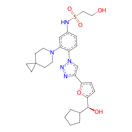 O=S(=O)(CCO)Nc1ccc(-n2cc(-c3ccc([C@@H](O)C4CCCC4)o3)nn2)c(N2CCC3(CC2)CC3)c1